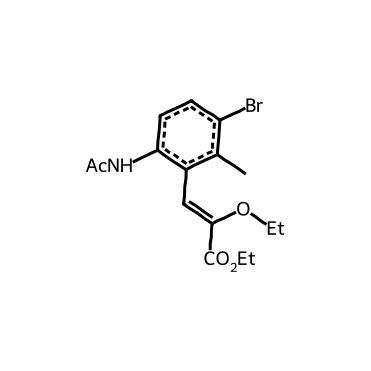 CCOC(=O)/C(=C/c1c(NC(C)=O)ccc(Br)c1C)OCC